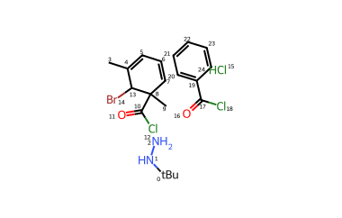 CC(C)(C)NN.CC1=CC=CC(C)(C(=O)Cl)C1Br.Cl.O=C(Cl)c1ccccc1